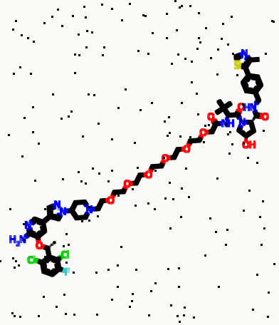 Cc1ncsc1-c1ccc(CNC(=O)[C@@H]2C[C@@H](O)CN2C(=O)[C@@H](NC(=O)COCCOCCOCCOCCOCCOCCN2CCC(n3cc(-c4cnc(N)c(O[C@H](C)c5c(Cl)ccc(F)c5Cl)c4)cn3)CC2)C(C)(C)C)cc1